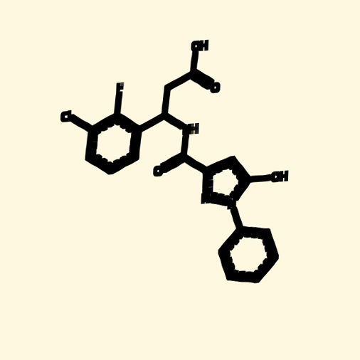 O=C(O)CC(NC(=O)c1cc(O)n(-c2ccccc2)n1)c1cccc(Cl)c1F